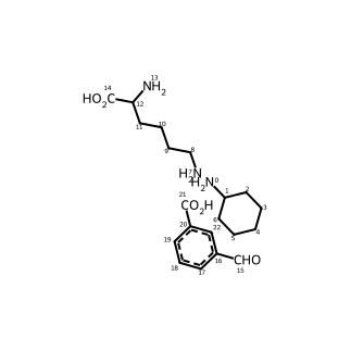 NC1CCCCC1.NCCCCC(N)C(=O)O.O=Cc1cccc(C(=O)O)c1